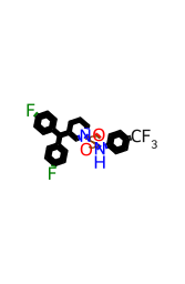 O=S(=O)(Nc1ccc(C(F)(F)F)cc1)N1CCCC(C(c2ccc(F)cc2)c2ccc(F)cc2)C1